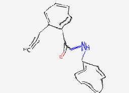 C#Cc1ccccc1C(=O)Nc1ccccc1